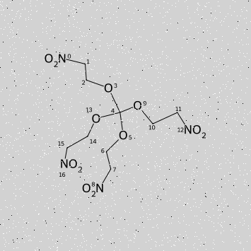 O=[N+]([O-])CCOC(OCC[N+](=O)[O-])(OCC[N+](=O)[O-])OCC[N+](=O)[O-]